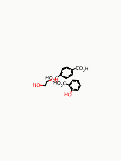 O=C(O)c1ccc(C(=O)O)cc1.O=C(O)c1ccccc1O.OCCO